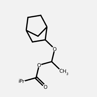 CC(OC(=O)C(C)C)OC1CC2CCC1C2